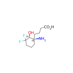 N[C@@]1(CCCC(=O)O)CCCC(F)(F)[C@H]1O